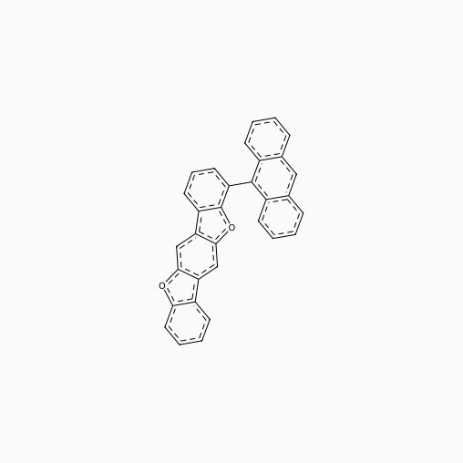 c1ccc2c(-c3cccc4c3oc3cc5c(cc34)oc3ccccc35)c3ccccc3cc2c1